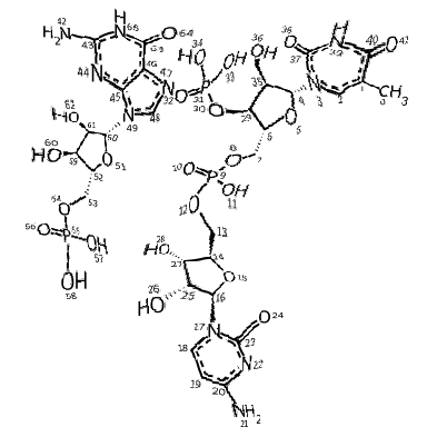 Cc1cn([C@@H]2O[C@H](COP(=O)(O)OC[C@H]3O[C@@H](n4ccc(N)nc4=O)[C@H](O)[C@@H]3O)[C@@H](OP(=O)(O)O)[C@H]2O)c(=O)[nH]c1=O.Nc1nc2c(ncn2[C@@H]2O[C@H](COP(=O)(O)O)[C@@H](O)[C@H]2O)c(=O)[nH]1